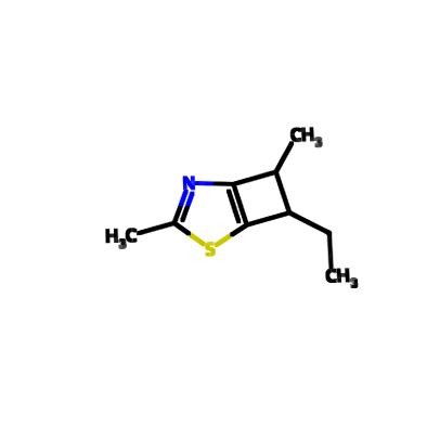 CCC1c2sc(C)nc2C1C